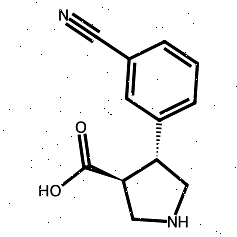 N#Cc1cccc([C@@H]2CNC[C@H]2C(=O)O)c1